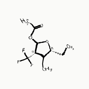 CC[C@H]1OC(OC(C)=O)[C@@H](C(F)(F)F)C1C